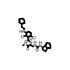 COC(=O)C(CNC(=O)N[C@@H]1CCc2ccccc21)NC(=O)c1c(Cl)ccc(NCCc2ccccc2)c1Cl